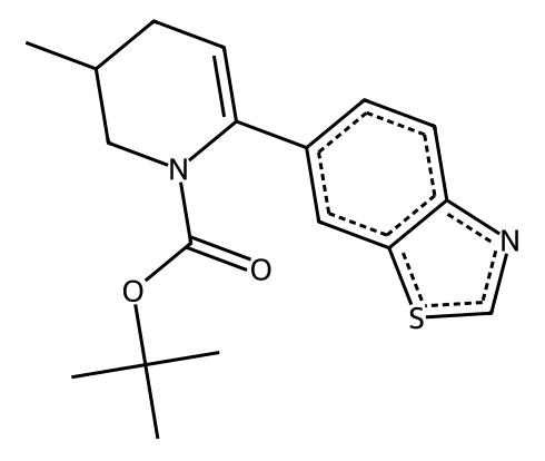 CC1CC=C(c2ccc3ncsc3c2)N(C(=O)OC(C)(C)C)C1